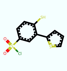 O=S(=O)(Cl)c1ccc(S)c(-c2cccs2)c1